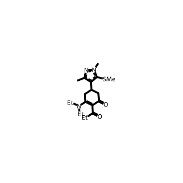 CCC(=O)C1=C(N(CC)CC)CC(c2c(C)nn(C)c2SC)CC1=O